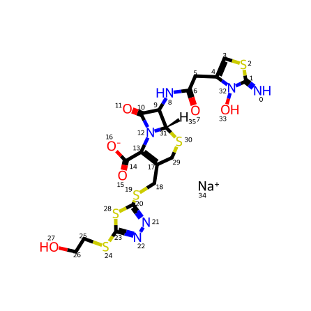 N=c1scc(CC(=O)NC2C(=O)N3C(C(=O)[O-])=C(CSc4nnc(SCCO)s4)CS[C@@H]23)n1O.[Na+]